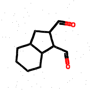 O=CC1CC2CCCCC2C1C=O